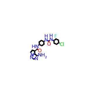 Nc1ncnn2ccc(C(=O)Nc3ccc(NC(=O)Nc4ccc(Cl)cc4F)cc3)c12